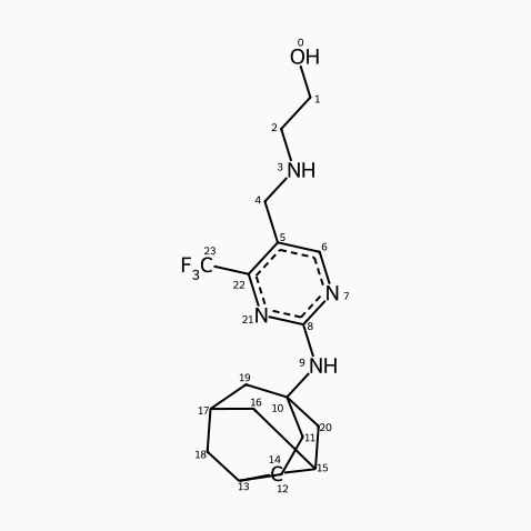 OCCNCc1cnc(NC23CCC4CC(CC(C4)C2)C3)nc1C(F)(F)F